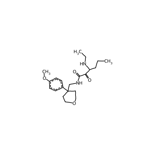 CCCC(NCC)C(=O)C(=O)NCC1(c2ccc(OC)cc2)CCOCC1